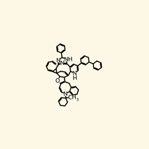 CC1(N2/C=C\C3=C(CC4=CCCC=C42)C2C4=CCC5(C6=CC=CC=C[C@@]65C5=NC(c6ccccc6)NC(=N5)C5=CC(C6=CC(C7C=CC=CC7)CC=C6)=CNC54)C2O3)C=CCCC1